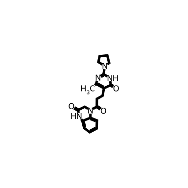 Cc1nc(N2CCCC2)[nH]c(=O)c1CCC(=O)N1CC(=O)Nc2ccccc21